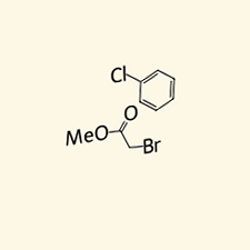 COC(=O)CBr.Clc1ccccc1